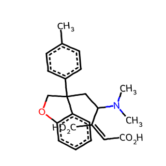 Cc1ccc(C2(CC(/C(=C\C(=O)O)C(=O)O)N(C)C)COc3ccccc32)cc1